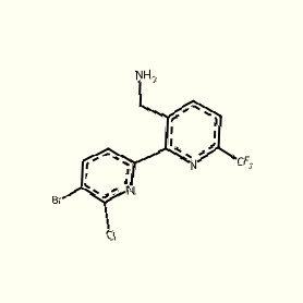 NCc1ccc(C(F)(F)F)nc1-c1ccc(Br)c(Cl)n1